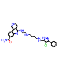 NC(=O)c1ccc2c(c1)nc(NCCNCCCCNCc1[nH]nc(-c3ccccc3)c1Cl)c1ccncc12